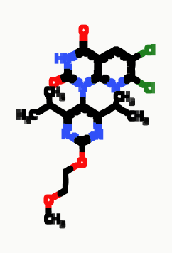 COCCOc1nc(C(C)C)c(-n2c(=O)[nH]c(=O)c3cc(Cl)c(Cl)nc32)c(C(C)C)n1